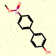 CO[PH](=O)c1ccc(-c2ccc(O)cc2)cc1